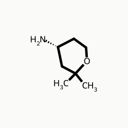 CC1(C)C[C@H](N)CCO1